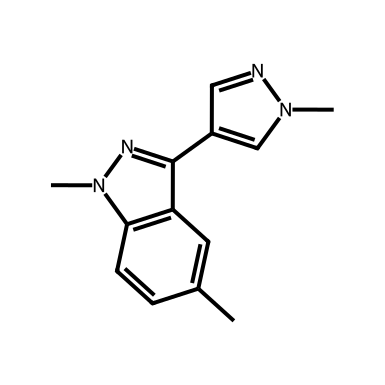 Cc1ccc2c(c1)c(-c1cnn(C)c1)nn2C